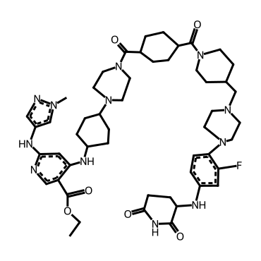 CCOC(=O)c1cnc(Nc2cnn(C)c2)cc1NC1CCC(N2CCN(C(=O)C3CCC(C(=O)N4CCC(CN5CCN(c6ccc(NC7CCC(=O)NC7=O)cc6F)CC5)CC4)CC3)CC2)CC1